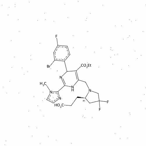 CCOC(=O)C1=C(CN2CC(F)(F)C[C@H]2CCC(=O)O)NC(c2nccn2C)=NC1c1ccc(F)cc1Br